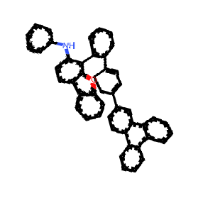 C1=C(c2ccc3c4ccccc4c4ccccc4c3c2)CCC(c2ccccc2-c2c(Nc3ccccc3)ccc3c2oc2ccccc23)=C1